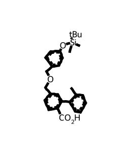 Cc1ccccc1-c1cc(COCc2ccc(O[Si](C)(C)C(C)(C)C)cc2)ccc1C(=O)O